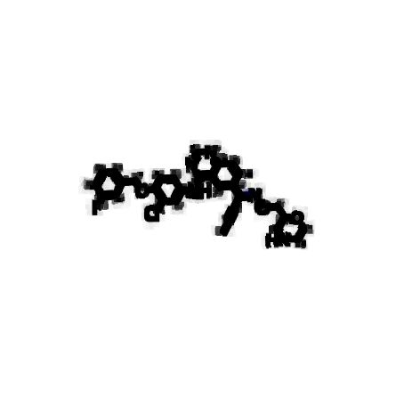 CC#C/C(=N\OC[C@@H]1CNCCO1)c1ccc2ncnc(Nc3ccc(OCc4cccc(F)c4)c(Cl)c3)c2c1